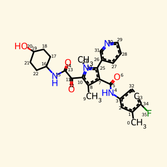 Cc1cc(NC(=O)c2c(C)c(C(=O)C(=O)NC3CCC(O)CC3)n(C)c2-c2cccnc2)ccc1F